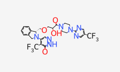 O=C(C(O)COC[C@H]1c2ccccc2CN1c1cn[nH]c(=O)c1C(F)(F)F)N1CCN(c2ncc(C(F)(F)F)cn2)CC1